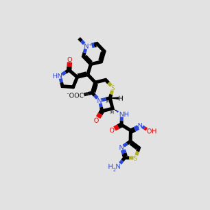 C[n+]1cccc(C(=C2CCNC2=O)C2=C(C(=O)[O-])N3C(=O)[C@@H](NC(=O)C(=NO)c4csc(N)n4)[C@H]3SC2)c1